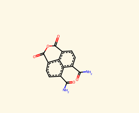 NC(=O)c1ccc2c3c(ccc(C(N)=O)c13)C(=O)OC2=O